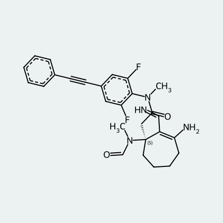 CN(C(=O)C[C@@]1(N(C)C=O)CCCCC(N)=C1C=N)c1c(F)cc(C#Cc2ccccc2)cc1F